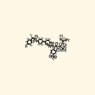 COc1cc(S(C)(=O)=O)ccc1N(C(=O)OC(OC(=O)[C@@H](N)C(C)C)C(C)C)c1nc2ccc(-c3ccc(NC(=O)[C@H](C)c4ccc(F)cc4)cc3)cn2n1